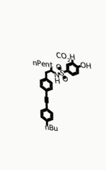 CCCCCC(Cc1ccc(C#Cc2ccc(CCCC)cc2)cc1)NS(=O)(=O)c1ccc(O)c(C(=O)O)c1